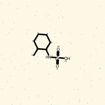 CC1CCCCC1NS(=O)(=O)O